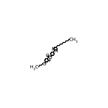 CCCCCCCCCCc1cnc(-c2ccc(OC(=O)c3ccc(OCCCCC)cc3F)cc2)nc1